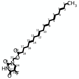 CCC=CCC=CCC=CCC=CCC=CCCCC(=O)OCn1cc(F)c(=O)[nH]c1=O